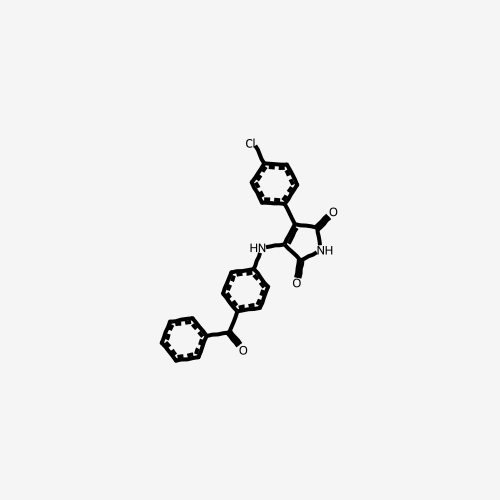 O=C1NC(=O)C(c2ccc(Cl)cc2)=C1Nc1ccc(C(=O)c2ccccc2)cc1